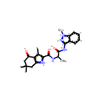 CCCCC(NC(=O)c1[nH]c2c(c1C)C(=O)CC(C)(C)C2)C(=O)Nc1nn(CC)c2ccccc12